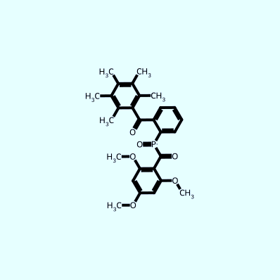 COc1cc(OC)c(C(=O)[P](=O)c2ccccc2C(=O)c2c(C)c(C)c(C)c(C)c2C)c(OC)c1